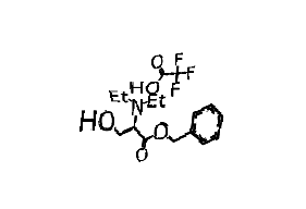 CCN(CC)C(CO)C(=O)OCc1ccccc1.O=C(O)C(F)(F)F